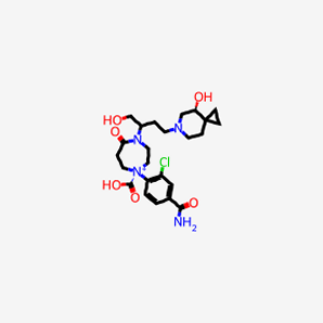 NC(=O)c1ccc([N@@+]2(C(=O)O)CCC(=O)N(C(CO)CCN3CCC4(CC4)[C@H](O)C3)CC2)c(Cl)c1